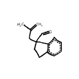 C=C(C)CC1(C=O)CCc2ccccc21